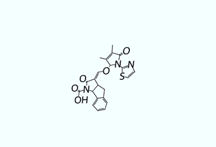 CC1=C(C)C(OC=C2C(=O)N(C(=O)O)C3c4ccccc4CC23)N(c2nccs2)C1=O